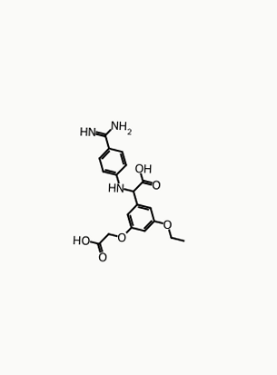 CCOc1cc(OCC(=O)O)cc(C(Nc2ccc(C(=N)N)cc2)C(=O)O)c1